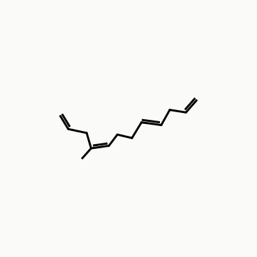 C=CCC=CCCC=C(C)CC=C